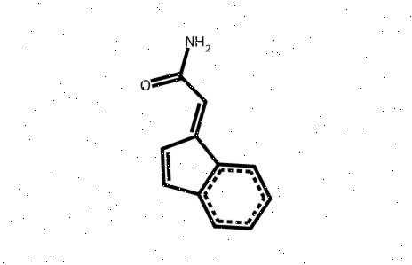 NC(=O)C=C1C=Cc2ccccc21